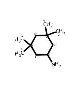 [CH2]C1(C)CC(N)CC(C)(C)C1